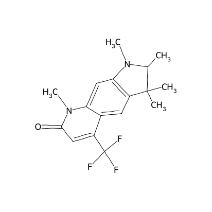 CC1N(C)c2cc3c(cc2C1(C)C)c(C(F)(F)F)cc(=O)n3C